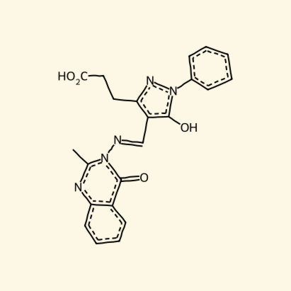 Cc1nc2ccccc2c(=O)n1N=Cc1c(CCC(=O)O)nn(-c2ccccc2)c1O